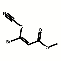 COC(=O)/C=C(/Br)SC#N